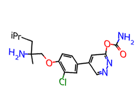 CC(C)CC(C)(N)COc1ccc(-c2cnnc(OC(N)=O)c2)cc1Cl